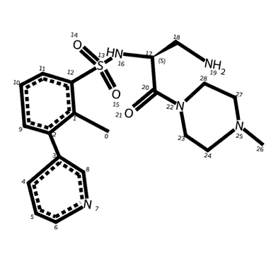 Cc1c(-c2cccnc2)cccc1S(=O)(=O)N[C@@H](CN)C(=O)N1CCN(C)CC1